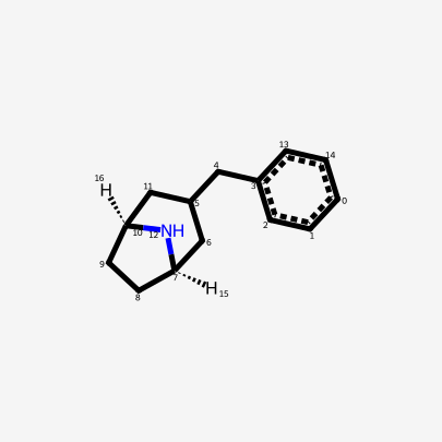 c1ccc(CC2C[C@H]3CC[C@@H](C2)N3)cc1